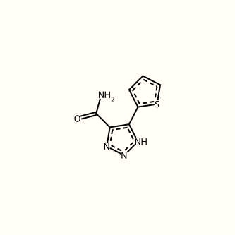 NC(=O)c1nn[nH]c1-c1cccs1